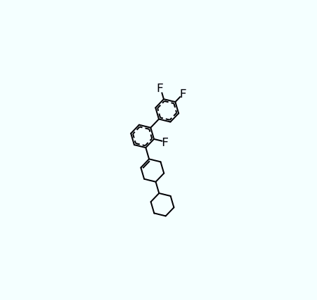 Fc1ccc(-c2cccc(C3=CCC(C4CCCCC4)CC3)c2F)cc1F